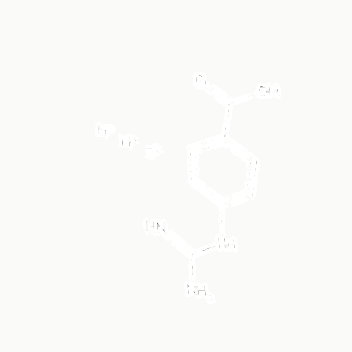 N=C(N)Nc1ccc(C(=O)O)cc1.[H+].[H+].[S-2]